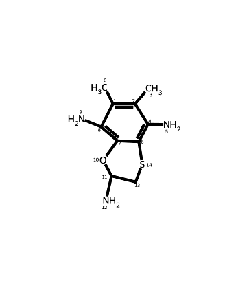 Cc1c(C)c(N)c2c(c1N)OC(N)CS2